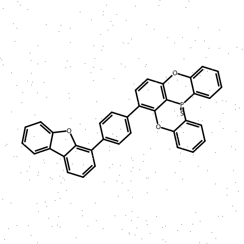 S=P12c3ccccc3Oc3ccc(-c4ccc(-c5cccc6c5oc5ccccc56)cc4)c(c31)Oc1ccccc12